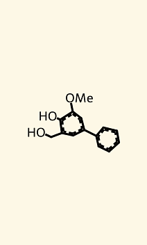 COc1cc(-c2ccccc2)cc(CO)c1O